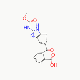 COC(=O)Nc1nc2cc(C(=O)c3ccccc3C(=O)O)ccc2[nH]1